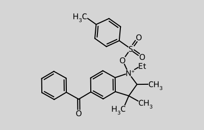 CC[N+]1(OS(=O)(=O)c2ccc(C)cc2)c2ccc(C(=O)c3ccccc3)cc2C(C)(C)C1C